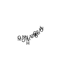 Cc1cc(-c2ccc(S(=O)(=O)N3CCN(CC(C)Nc4ncnc5c(-c6ccccn6)cccc45)CC3)s2)on1